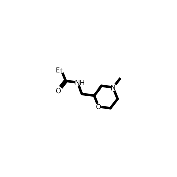 CCC(=O)NCC1CN(C)CCO1